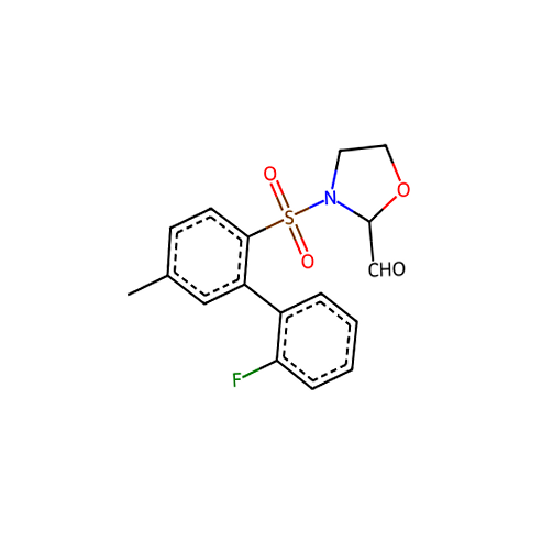 Cc1ccc(S(=O)(=O)N2CCOC2C=O)c(-c2ccccc2F)c1